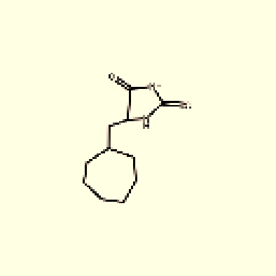 O=C1NC(=O)C(CC2CCCCCC2)N1